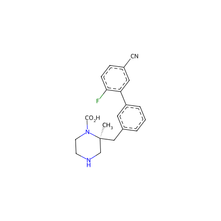 C[C@]1(Cc2cccc(-c3cc(C#N)ccc3F)c2)CNCCN1C(=O)O